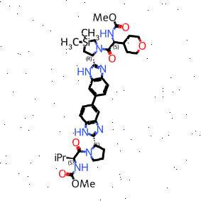 COC(=O)N[C@H](C(=O)N1CCC[C@H]1c1nc2cc(-c3ccc4nc([C@@H]5C[Si](C)(C)CN5C(=O)[C@@H](NC(=O)OC)C5CCOCC5)[nH]c4c3)ccc2[nH]1)C(C)C